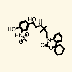 CC(C)(CCN1C(=O)OC2(CCCCC2)c2ccccc21)NCC(O)c1ccc(O)c(NS(C)(=O)=O)c1